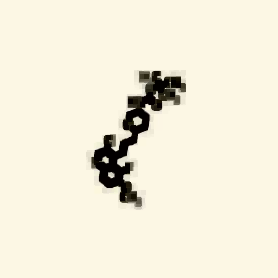 COc1ccc2ncc(Cl)c(C=CC[C@@H]3CC[C@@H](NC(=O)OC(C)(C)C)CO3)c2c1F